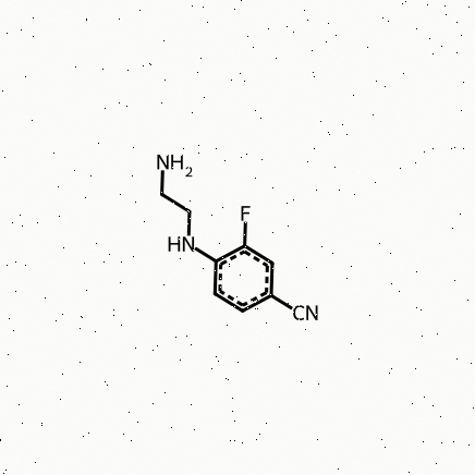 N#Cc1ccc(NCCN)c(F)c1